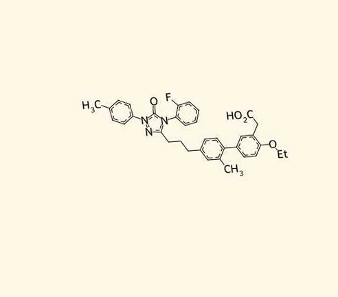 CCOc1ccc(-c2ccc(CCCc3nn(-c4ccc(C)cc4)c(=O)n3-c3ccccc3F)cc2C)cc1CC(=O)O